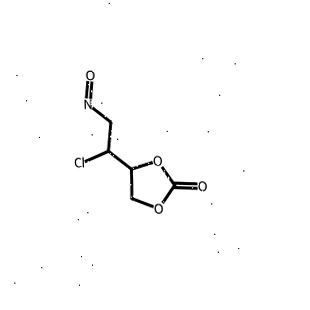 O=NCC(Cl)C1COC(=O)O1